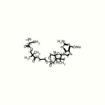 COc1nc(N)nc2c1ncn2[C@@H]1O[C@@H]2CO[P@@](=O)(OCCSC(=O)C(C)(C)COC(=O)[C@@H](N)C(C)C)O[C@H]2[C@@]1(C)F